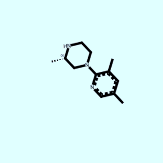 Cc1cnc(N2CCN[C@@H](C)C2)c(C)c1